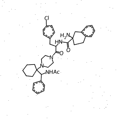 CC(=O)NC(c1ccccc1)C1(N2CCN(C(=O)C(Cc3ccc(Cl)cc3)NC(=O)C3(N)CCc4ccccc4C3)CC2)CCCCC1